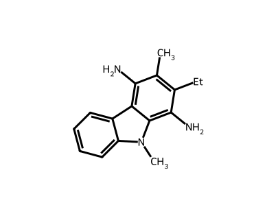 CCc1c(C)c(N)c2c3ccccc3n(C)c2c1N